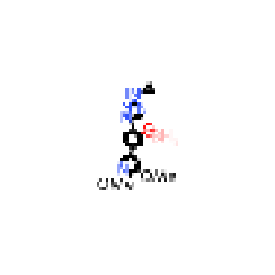 BOc1cc(-c2cnc(OC)c(OC)c2)ccc1-c1cnc(NC2CC2)nn1